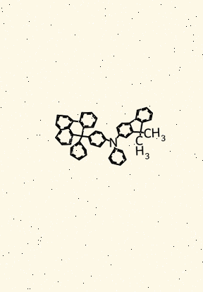 CC1(C)c2ccccc2-c2ccc(N(c3ccccc3)c3ccc(C4(c5ccccc5)c5ccccc5-c5cccc6cccc4c56)cc3)cc21